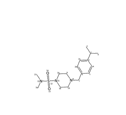 CC(C)c1ccc(CN2CCN(S(=O)(=O)N(C)C)CC2)cc1